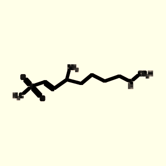 CS(=O)(=O)C=CC(N)CCCCNC(=O)O